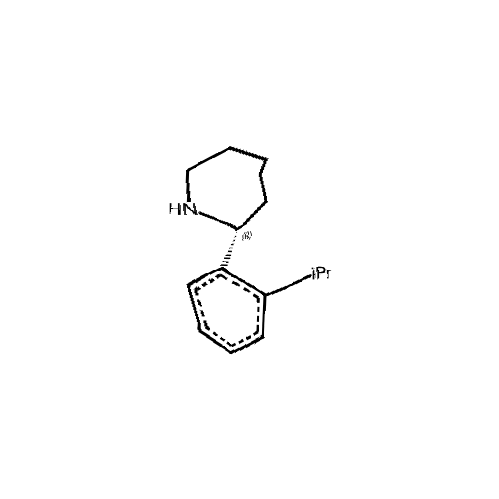 CC(C)c1ccccc1[C@H]1CCCCN1